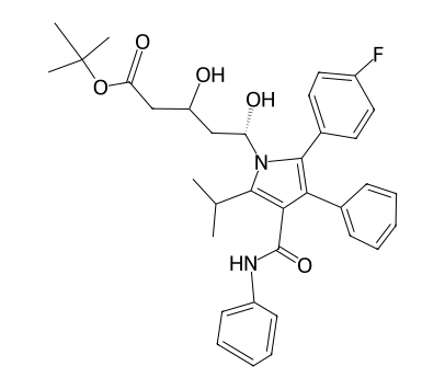 CC(C)c1c(C(=O)Nc2ccccc2)c(-c2ccccc2)c(-c2ccc(F)cc2)n1[C@@H](O)CC(O)CC(=O)OC(C)(C)C